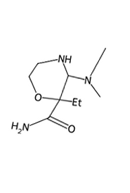 CCC1(C(N)=O)OCCNC1N(C)C